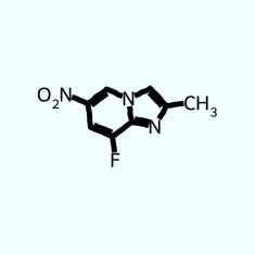 Cc1cn2cc([N+](=O)[O-])cc(F)c2n1